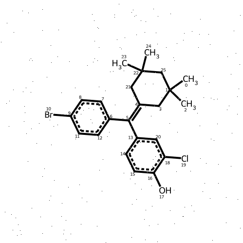 CC1(C)CC(=C(c2ccc(Br)cc2)c2ccc(O)c(Cl)c2)CC(C)(C)C1